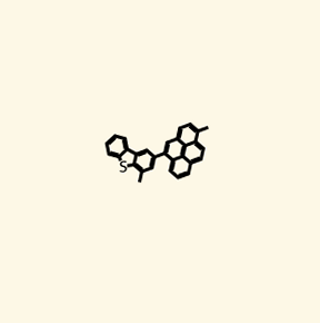 Cc1ccc2cc(-c3cc(C)c4sc5ccccc5c4c3)c3cccc4ccc1c2c43